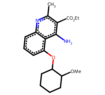 CCOC(=O)c1c(C)nc2cccc(OC3CCCCC3OC)c2c1N